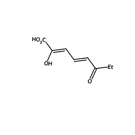 CCC(=O)C=CC=C(O)C(=O)O